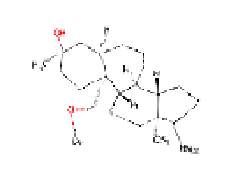 CNC1CC[C@H]2[C@@H]3CC[C@@H]4C[C@](C)(O)CC[C@]4(COC(C)C)[C@H]3CC[C@]12C